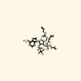 C=CCOC(=O)OC[C@H]1O[C@@H](n2cnc3c(N)ncnc32)[C@H](O[Si](C)(C)C(C)(C)C)[C@@H]1OP(=O)(OCC=C)OCCC#N